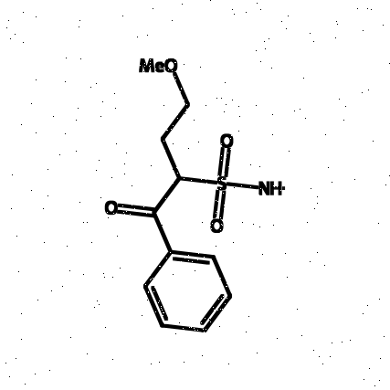 COCCC(C(=O)c1ccccc1)S([NH])(=O)=O